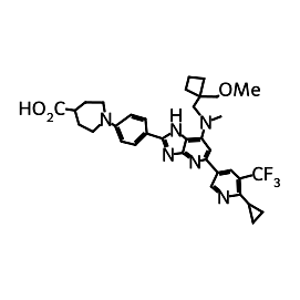 COCC1(CN(C)c2cc(-c3cnc(C4CC4)c(C(F)(F)F)c3)nc3nc(-c4ccc(N5CCC(C(=O)O)CC5)cc4)[nH]c23)CCC1